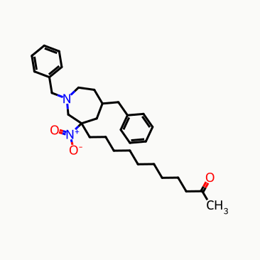 CC(=O)CCCCCCCCCC1([N+](=O)[O-])CC(Cc2ccccc2)CCN(Cc2ccccc2)C1